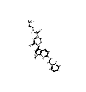 COCCOC(=O)N1CCN(c2cn(C)c3nc(OCc4ccccn4)ccc23)C(=O)C1